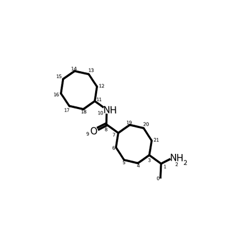 CC(N)C1CCCC(C(=O)NC2CCCCCCC2)CCC1